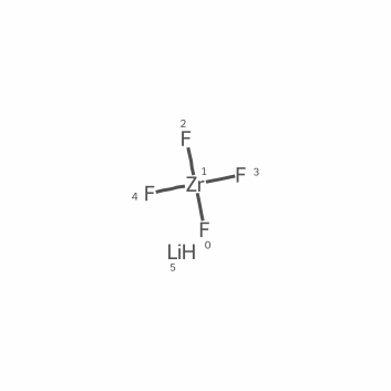 [F][Zr]([F])([F])[F].[LiH]